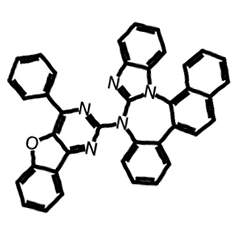 c1ccc(-c2nc(N3c4ccccc4-c4ccc5ccccc5c4-n4c3nc3ccccc34)nc3c2oc2ccccc23)cc1